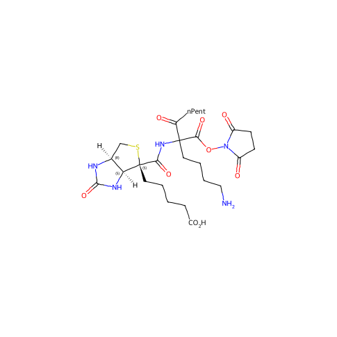 CCCCCC(=O)C(CCCCN)(NC(=O)[C@@]1(CCCCC(=O)O)SC[C@@H]2NC(=O)N[C@@H]21)C(=O)ON1C(=O)CCC1=O